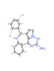 Nc1nc2c3c(ccn3n1)C(c1cc(F)ccc1F)=Nc1ccccc1-2